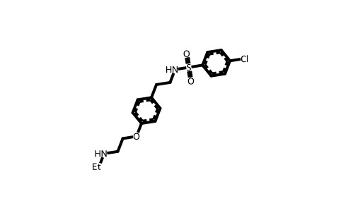 CCNCCOc1ccc(CCNS(=O)(=O)c2ccc(Cl)cc2)cc1